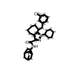 O=C(NC12CC3CC(CC1C3)C2)c1nn(C2CCCCC2)c2c1CCCCC2Cc1cccc(Cl)c1